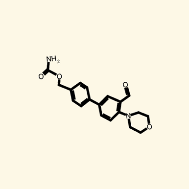 NC(=O)OCc1ccc(-c2ccc(N3CCOCC3)c(C=O)c2)cc1